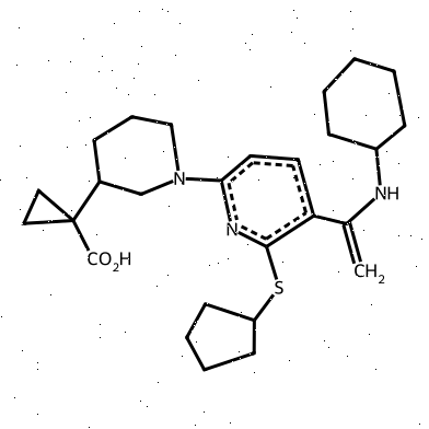 C=C(NC1CCCCC1)c1ccc(N2CCCC(C3(C(=O)O)CC3)C2)nc1SC1CCCC1